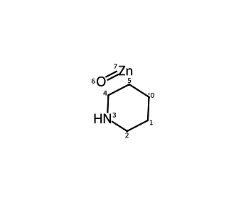 [CH]1CCNCC1.[O]=[Zn]